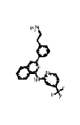 NCCc1cccc(-c2cc3ccccc3c(Nc3cc(C(F)(F)F)ccn3)n2)c1